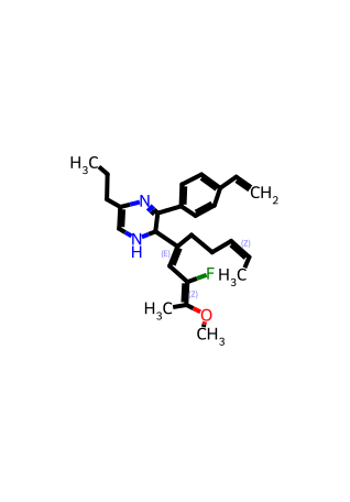 C=Cc1ccc(C2=NC(CCC)=CNC2/C(=C/C(F)=C(\C)OC)CC/C=C\C)cc1